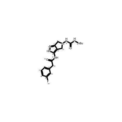 CCCCNC(=O)NN1Cc2n[nH]c(NC(=O)Cc3cccc(F)c3)c2C1